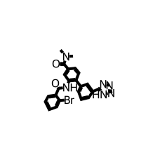 CN(C)C(=O)c1ccc(-c2cccc(-c3nnn[nH]3)c2)c(NC(=O)c2ccccc2Br)c1